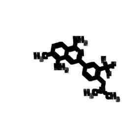 Cc1ccc2c(N)nc(-c3ccc(CN(C)C)c(C(F)(F)F)c3)cc2c1N